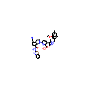 CCOC12CC3(C)CC(C)(CC(Cn4ncc(-c5ccc(N6CCc7c(C#N)ccc(C(=O)Nc8nc9ccccc9s8)c7C6)nc5C(=O)O)c4C)(C3)C1)C2